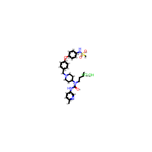 CCCCN(C(=O)Nc1ccc(C)nc1)C1CCN(Cc2ccc(Oc3ccc(NS(C)(=O)=O)cc3)cc2)CC1.Cl.Cl